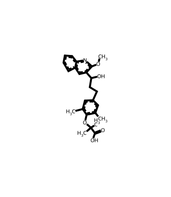 COc1nc2ccccc2cc1C(O)CCc1cc(C)c(OC(C)(C)C(=O)O)c(C)c1